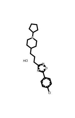 Cl.Clc1ccc(-c2nc(CCCC3CCN(C4CCCC4)CC3)no2)cc1